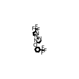 FC(F)(F)c1cccc(Oc2ccnc(-n3ccc(C(F)(F)F)n3)n2)c1